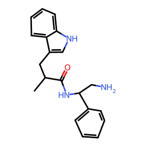 C[C](Cc1c[nH]c2ccccc12)C(=O)NC(CN)c1ccccc1